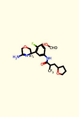 C[C@@]1(c2cc(NC(=O)C(CC3CCCO3)C(F)(F)F)ccc2F)COCC(N)=N1.O=CO